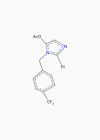 CCc1ncc(OC(C)=O)n1Cc1ccc(C(F)(F)F)cc1